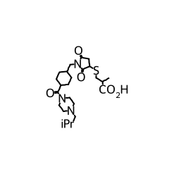 CC(C)CN1CCN(C(=O)C2CCC(CN3C(=O)CC(SCC(C)C(=O)O)C3=O)CC2)CC1